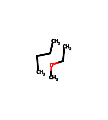 CCCC.CCOC